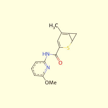 COc1cccc(NC(=O)C2=CC(C)=C3CC3S2)n1